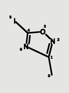 Cc1noc(I)n1